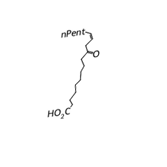 CCCCC/C=C\CC(=O)CCCCCCCCC(=O)O